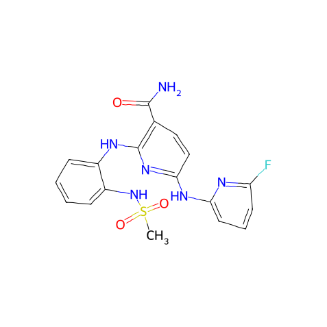 CS(=O)(=O)Nc1ccccc1Nc1nc(Nc2cccc(F)n2)ccc1C(N)=O